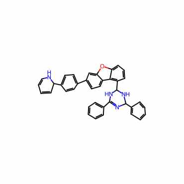 C1=CNC(c2ccc(-c3ccc4c(c3)oc3cccc(C5NC(c6ccccc6)=NC(c6ccccc6)N5)c34)cc2)C=C1